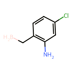 BCc1ccc(Cl)cc1N